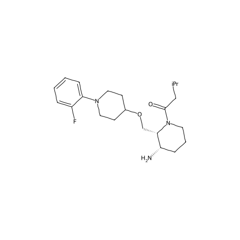 CC(C)CC(=O)N1CCC[C@H](N)[C@@H]1COC1CCN(c2ccccc2F)CC1